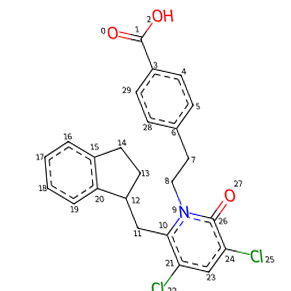 O=C(O)c1ccc(CCn2c(CC3CCc4ccccc43)c(Cl)cc(Cl)c2=O)cc1